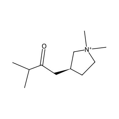 CC(C)C(=O)C[C@@H]1CC[N+](C)(C)C1